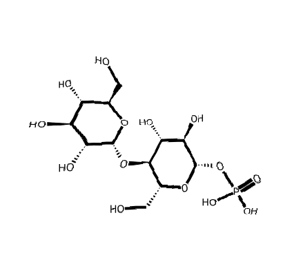 O=P(O)(O)O[C@@H]1O[C@H](CO)[C@@H](O[C@H]2O[C@H](CO)[C@@H](O)[C@H](O)[C@H]2O)[C@H](O)[C@H]1O